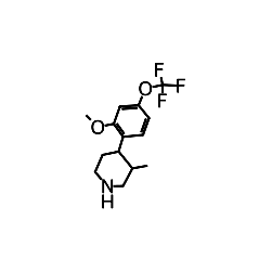 COc1cc(OC(F)(F)F)ccc1C1CCNCC1C